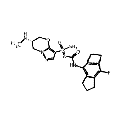 CN[C@@H]1COc2c(S(N)(=O)=NC(=O)Nc3c4c(c(F)c5c3CC5)CCC4)cnn2C1